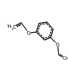 C=COc1cccc(OC=C)c1